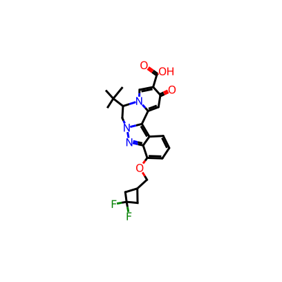 CC(C)(C)C1Cn2nc3c(OCC4CC(F)(F)C4)cccc3c2-c2cc(=O)c(C(=O)O)cn21